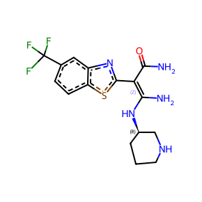 NC(=O)/C(=C(\N)N[C@@H]1CCCNC1)c1nc2cc(C(F)(F)F)ccc2s1